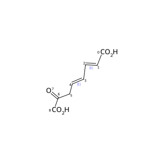 O=C(O)/C=C/C=C/CC(=O)C(=O)O